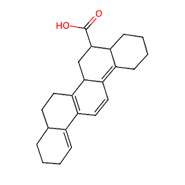 O=C(O)C1CC2C(=C3CCCCC31)C=CC1=C2CCC2CCCC=C12